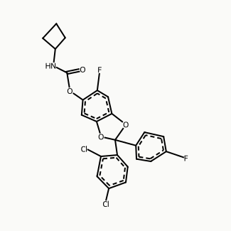 O=C(NC1CCC1)Oc1cc2c(cc1F)OC(c1ccc(F)cc1)(c1ccc(Cl)cc1Cl)O2